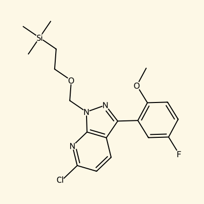 COc1ccc(F)cc1-c1nn(COCC[Si](C)(C)C)c2nc(Cl)ccc12